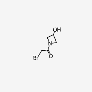 O=C(CBr)N1CC(O)C1